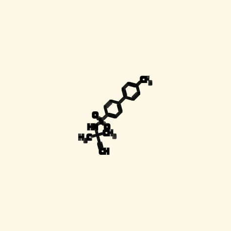 C#CC(C)(C)NS(=O)(=O)c1ccc(-c2ccc(C(F)(F)F)cc2)cc1